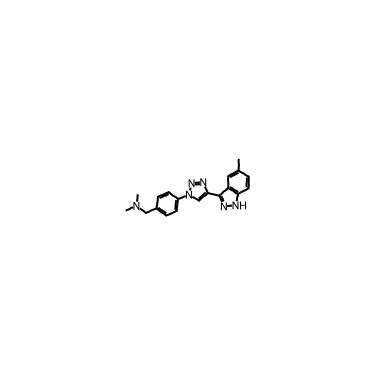 Cc1ccc2[nH]nc(-c3cn(-c4ccc(CN(C)C)cc4)nn3)c2c1